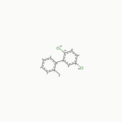 Cc1ccccc1-c1cc(Cl)[c]cc1Cl